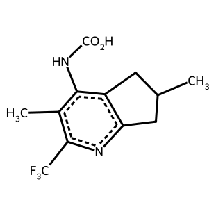 Cc1c(C(F)(F)F)nc2c(c1NC(=O)O)CC(C)C2